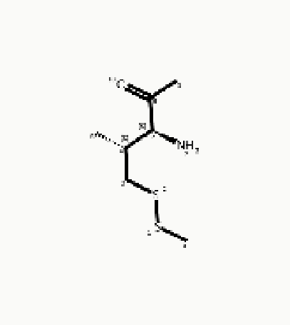 CSSC[C@H](C)[C@H](N)C(C)=O